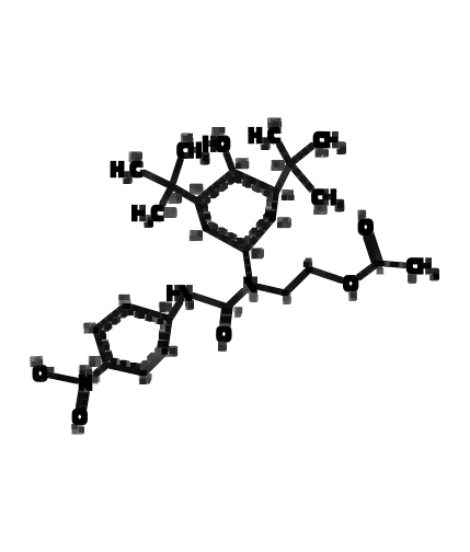 CC(=O)OCCN(C(=O)Nc1ccc([N+](=O)[O-])cc1)c1cc(C(C)(C)C)c(O)c(C(C)(C)C)c1